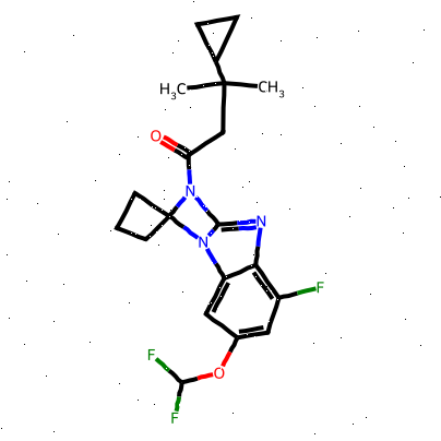 CC(C)(CC(=O)N1c2nc3c(F)cc(OC(F)F)cc3n2C12CCC2)C1CC1